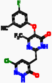 N#Cc1cc(F)cc(Oc2c(C(F)(F)F)nc(Cc3cc(Cl)n[nH]c3=O)[nH]c2=O)c1